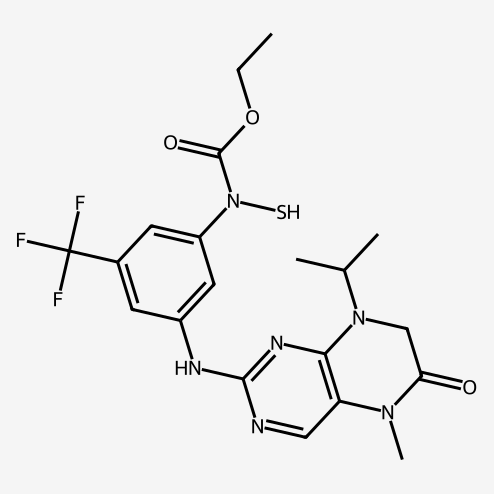 CCOC(=O)N(S)c1cc(Nc2ncc3c(n2)N(C(C)C)CC(=O)N3C)cc(C(F)(F)F)c1